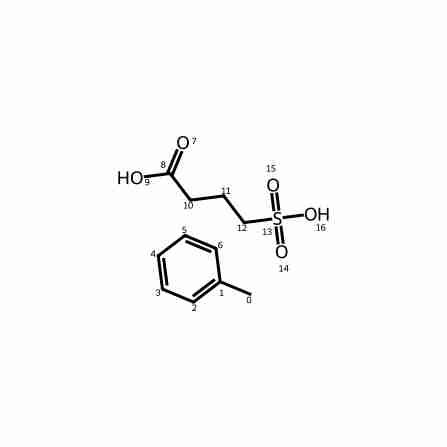 Cc1ccccc1.O=C(O)CCCS(=O)(=O)O